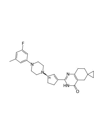 Cc1cc(F)cc(N2CCN([C@H]3C=C(c4nc5c(c(=O)[nH]4)CC4(CC5)CC4)CC3)CC2)c1